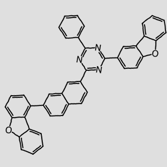 c1ccc(-c2nc(-c3ccc4ccc(-c5cccc6oc7ccccc7c56)cc4c3)nc(-c3ccc4oc5ccccc5c4c3)n2)cc1